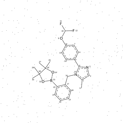 Cc1cnc(-c2ccc(OC(F)F)cc2)n1Cc1ccccc1B1OC(C)(C)C(C)(C)O1